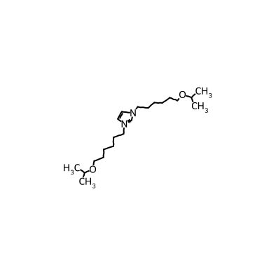 CC(C)OCCCCCCn1cc[n+](CCCCCCOC(C)C)c1